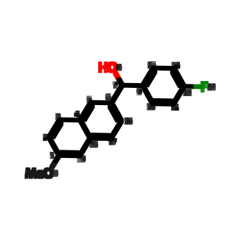 COc1ccc2cc(C(O)c3ccc(F)cc3)ccc2c1